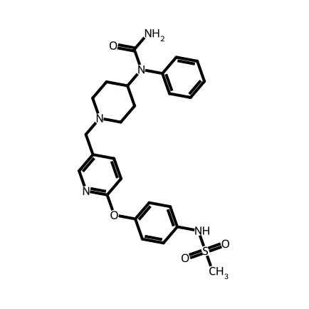 CS(=O)(=O)Nc1ccc(Oc2ccc(CN3CCC(N(C(N)=O)c4ccccc4)CC3)cn2)cc1